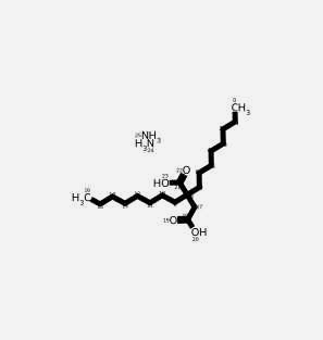 CCCCCCCCC(CCCCCCCC)(CC(=O)O)C(=O)O.N.N